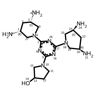 N[C@@H]1C[C@H](N)CN(c2nc(N3CCC(O)C3)nc(N3C[C@H](N)C[C@H](N)C3)n2)C1